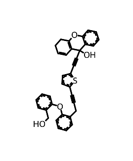 OCc1ccccc1Oc1ccccc1CC#Cc1ccc(C#CC2(O)C3=C(CCC=C3)Oc3ccccc32)s1